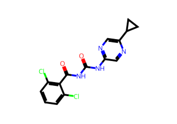 O=C(NC(=O)c1c(Cl)cccc1Cl)Nc1cnc(C2CC2)cn1